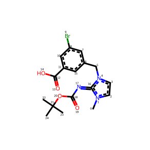 Cn1ccn(Cc2cc(Br)cc(C(=O)O)c2)c1=NC(=O)OC(C)(C)C